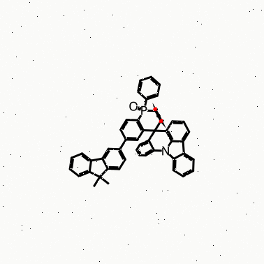 CC1(C)c2ccccc2-c2cc(-c3ccc4c(c3)C3(c5ccccc5-n5c6ccccc6c6cccc3c65)c3ccccc3P4(=O)c3ccccc3)ccc21